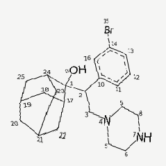 OC1(C(CN2CCNCC2)c2cccc(Br)c2)C2CC3CC(C2)CC1C3